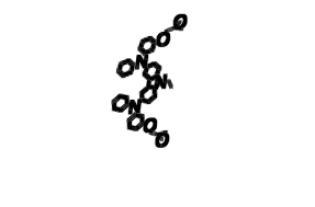 CCn1c2ccc(N(c3ccccc3)c3cccc(OCC4CO4)c3)cc2c2cc(N(c3ccccc3)c3cccc(OCC4CO4)c3)ccc21